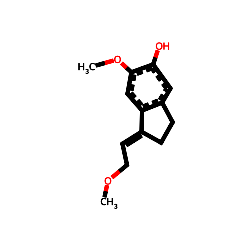 COC/C=C1\CCc2cc(O)c(OC)cc21